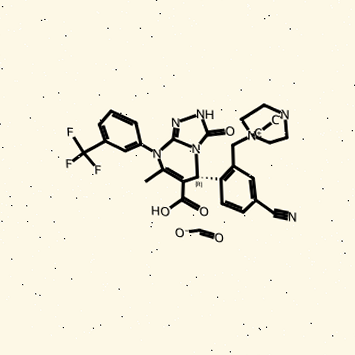 CC1=C(C(=O)O)[C@@H](c2ccc(C#N)cc2C[N+]23CCN(CC2)CC3)n2c(n[nH]c2=O)N1c1cccc(C(F)(F)F)c1.O=C[O-]